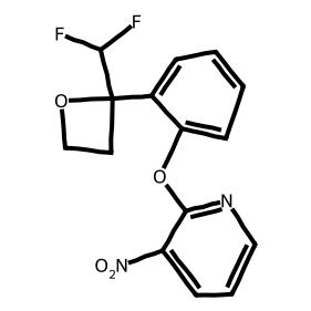 O=[N+]([O-])c1cccnc1Oc1ccccc1C1(C(F)F)CCO1